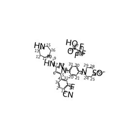 N#Cc1ccc(-c2cc(NC[C@@H]3CCCNCC3)nn2-c2ccc(N3CC[S+]([O-])CC3)cc2)cc1F.O=C(O)C(F)(F)F